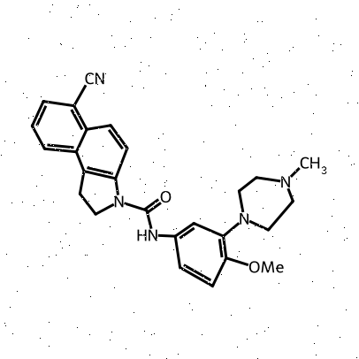 COc1ccc(NC(=O)N2CCc3c2ccc2c(C#N)cccc32)cc1N1CCN(C)CC1